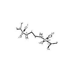 CC(C)S(=O)(=O)NCCNS(=O)(=O)C(C)C